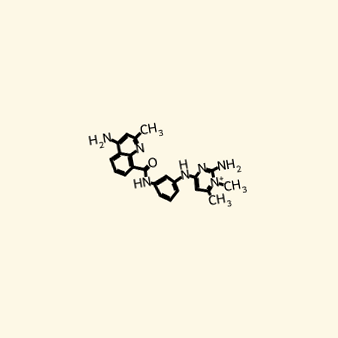 Cc1cc(N)c2cccc(C(=O)Nc3cccc(Nc4cc(C)[n+](C)c(N)n4)c3)c2n1